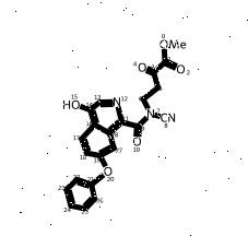 COC(=O)C(=O)CCN(C#N)C(=O)c1ncc(O)c2ccc(Oc3ccccc3)cc12